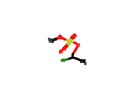 CCOS(=O)(=O)OC(C)Cl